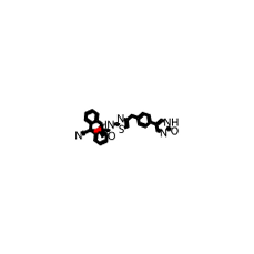 CC1(C(=O)Nc2nc(Cc3ccc(-c4cnc(=O)[nH]c4)cc3)cs2)CC2(C#N)c3ccccc3C1c1ccccc12